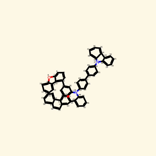 c1cc(-c2cccc3oc4ccccc4c23)cc(N(c2ccc(-c3ccc(-n4c5ccccc5c5ccccc54)cc3)cc2)c2ccccc2-c2ccc3c(ccc4ccccc43)c2)c1